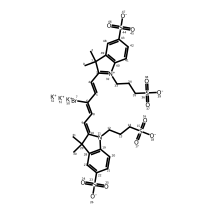 CC1(C)C(/C=C/C(Br)=C/C=C2\N(CCCS(=O)(=O)[O-])c3ccc(S(=O)(=O)[O-])cc3C2(C)C)=[N+](CCCS(=O)(=O)[O-])c2ccc(S(=O)(=O)[O-])cc21.[K+].[K+].[K+]